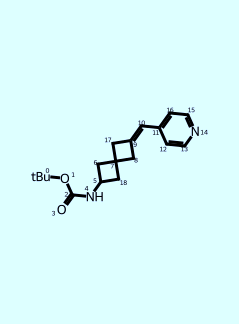 CC(C)(C)OC(=O)NC1CC2(CC(=Cc3ccncc3)C2)C1